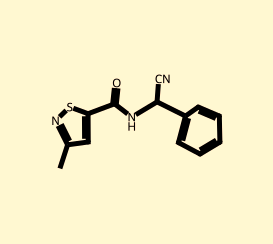 Cc1cc(C(=O)NC(C#N)c2ccccc2)sn1